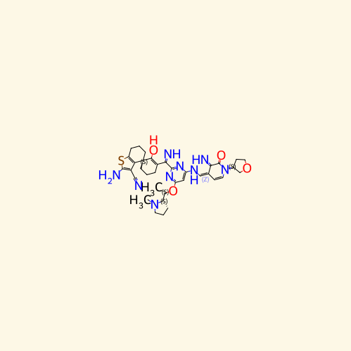 C[C@H](Oc1cc(N/C=C2/C=CN([C@H]3CCOC3)C(=O)C2=N)nc(C(=N)C2=C(O)[C@@]3(CCC2)CCCc2sc(N)c(C#N)c23)n1)[C@@H]1CCCN1C